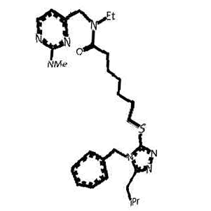 CCN(Cc1ccnc(NC)n1)C(=O)CCCCCCSc1nnc(CC(C)C)n1Cc1ccccc1